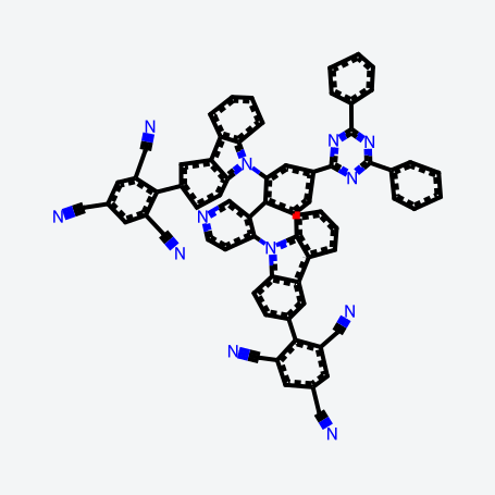 N#Cc1cc(C#N)c(-c2ccc3c(c2)c2ccccc2n3-c2ccncc2-c2ccc(-c3nc(-c4ccccc4)nc(-c4ccccc4)n3)cc2-n2c3ccccc3c3cc(-c4c(C#N)cc(C#N)cc4C#N)ccc32)c(C#N)c1